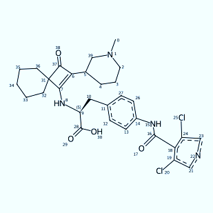 CN1CCCC(C2=C(N[C@@H](Cc3ccc(NC(=O)c4c(Cl)cncc4Cl)cc3)C(=O)O)C3(CCCCC3)C2=O)C1